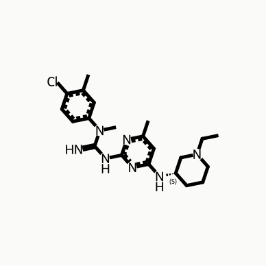 CCN1CCC[C@H](Nc2cc(C)nc(NC(=N)N(C)c3ccc(Cl)c(C)c3)n2)C1